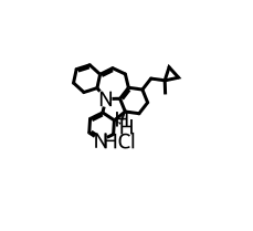 CC1(CC2CC[C@H]3C4=C2CC=C2C=CCCC2N4C2=CC=NC[C@@H]23)CC1.Cl